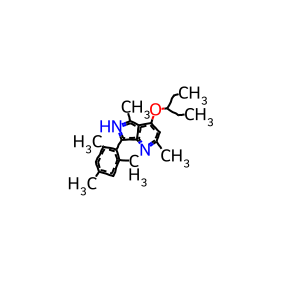 CCC(CC)Oc1cc(C)nc2c(-c3c(C)cc(C)cc3C)[nH]c(C)c12